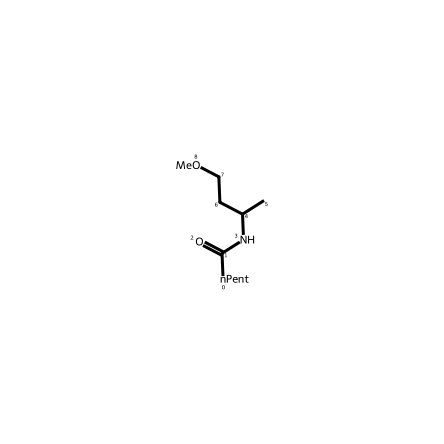 CCCCCC(=O)NC(C)CCOC